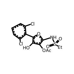 CCS(=O)(=O)Nc1oc(-c2c(Cl)cccc2Cl)c(O)c1OC(C)=O